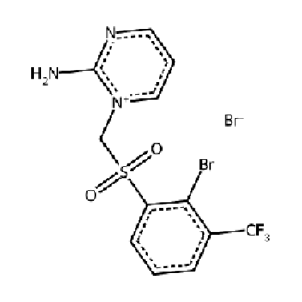 Nc1nccc[n+]1CS(=O)(=O)c1cccc(C(F)(F)F)c1Br.[Br-]